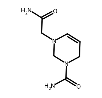 NC(=O)CN1C=CCN(C(N)=O)C1